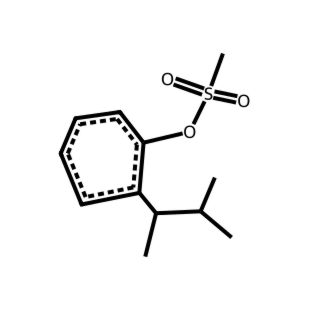 CC(C)C(C)c1ccccc1OS(C)(=O)=O